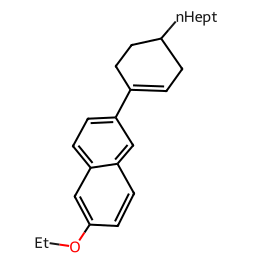 CCCCCCCC1CC=C(c2ccc3cc(OCC)ccc3c2)CC1